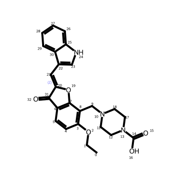 CCOc1ccc2c(c1CN1CCN(C(=O)O)CC1)O/C(=C\c1c[nH]c3ccccc13)C2=O